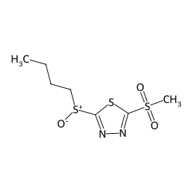 CCCC[S+]([O-])c1nnc(S(C)(=O)=O)s1